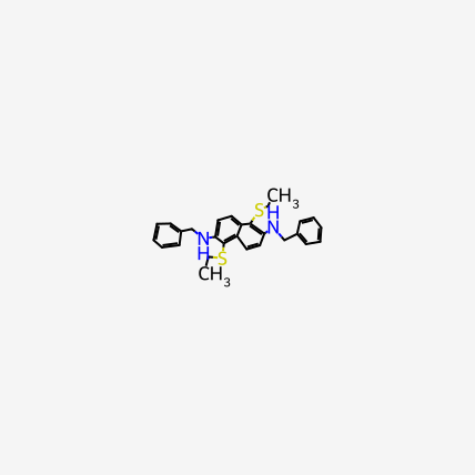 CCSc1c(NCc2ccccc2)ccc2c(SCC)c(NCc3ccccc3)ccc12